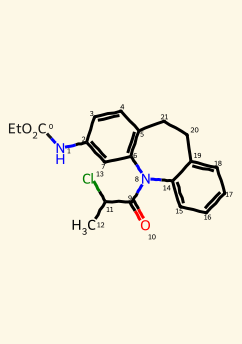 CCOC(=O)Nc1ccc2c(c1)N(C(=O)C(C)Cl)c1ccccc1CC2